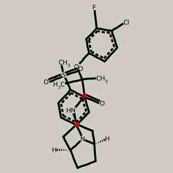 CC(C)(Oc1ccc(Cl)c(F)c1)C(=O)N[C@H]1C[C@H]2CC[C@@H](C1)N2c1ccc(S(C)(=O)=O)cc1